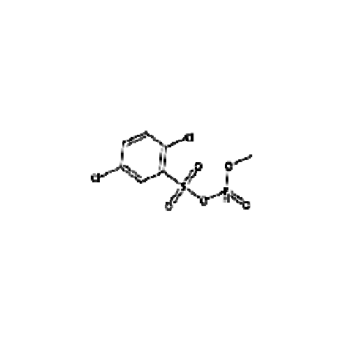 CO[PH](=O)OS(=O)(=O)c1cc(Cl)ccc1Cl